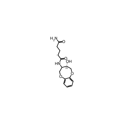 NC(=O)CC[CH]C(=O)NC1COc2ccccc2OC[C@H]1O